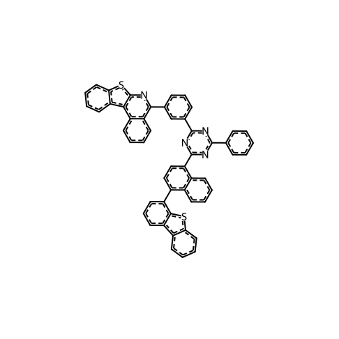 c1ccc(-c2nc(-c3cccc(-c4nc5sc6ccccc6c5c5ccccc45)c3)nc(-c3ccc(-c4cccc5c4sc4ccccc45)c4ccccc34)n2)cc1